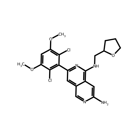 COc1cc(OC)c(Cl)c(-c2cc3cnc(N)cc3c(NCC3CCCO3)n2)c1Cl